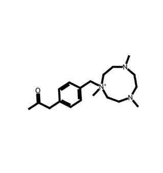 CC(=O)Cc1ccc(C[N+]2(C)CCN(C)CCN(C)CC2)cc1